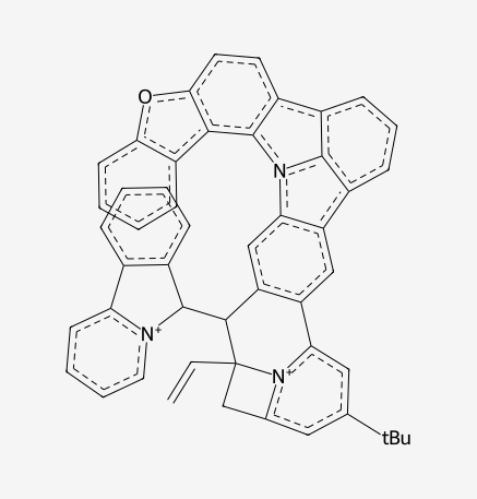 C=CC12Cc3cc(C(C)(C)C)cc([n+]31)-c1cc3c4cccc5c6ccc7oc8ccccc8c7c6n(c3cc1C2C1c2ccccc2-c2cccc[n+]21)c45